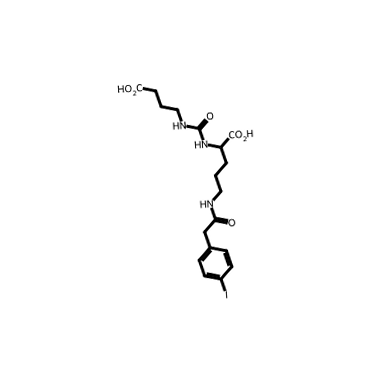 O=C(O)CCCNC(=O)NC(CCCNC(=O)Cc1ccc(I)cc1)C(=O)O